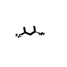 CCC[C@@H](C)C[C@H](C)C(F)(F)F